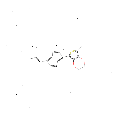 C/C=C/C1=C\C=C/C(c2sc(C)c3c2OCCO3)=C/C=C\1